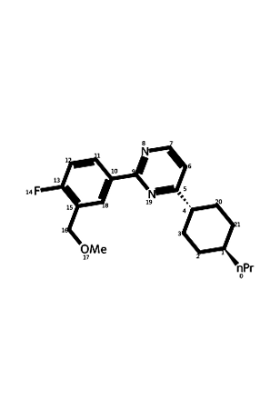 CCC[C@H]1CC[C@H](c2ccnc(-c3ccc(F)c(COC)c3)n2)CC1